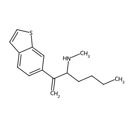 C=C(c1ccc2ccsc2c1)C(CCCC)NC